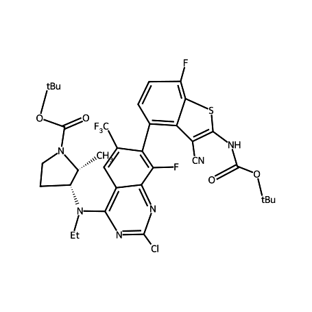 CCN(c1nc(Cl)nc2c(F)c(-c3ccc(F)c4sc(NC(=O)OC(C)(C)C)c(C#N)c34)c(C(F)(F)F)cc12)[C@@H]1CCN(C(=O)OC(C)(C)C)[C@@H]1C